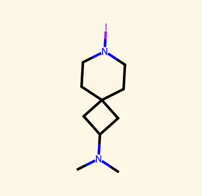 CN(C)C1CC2(CCN(I)CC2)C1